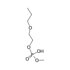 CCCOCCOP(=O)(O)OC